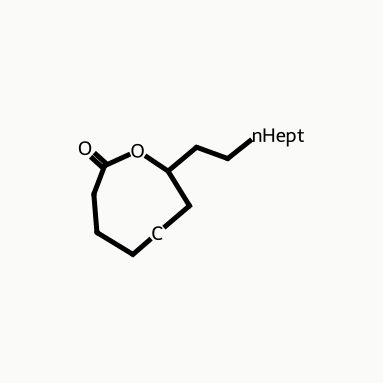 CCCCCCCCCC1CCCCCC(=O)O1